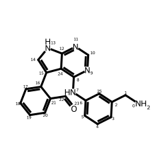 NCc1cccc(Nc2ncnc3[nH]cc(-c4ccccc4C=O)c23)c1